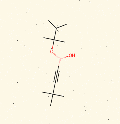 CC(C)C(C)(C)OB(O)C#CC(C)(C)C